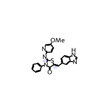 COc1ccc(/N=C2\S/C(=C\c3ccc4[nH]cnc4c3)C(=O)N2c2ccccc2)nc1